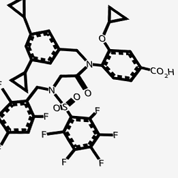 O=C(O)c1ccc(N(Cc2cc(C3CC3)cc(C3CC3)c2)C(=O)CN(Cc2c(F)cc(F)cc2F)S(=O)(=O)c2c(F)c(F)c(F)c(F)c2F)c(OC2CC2)c1